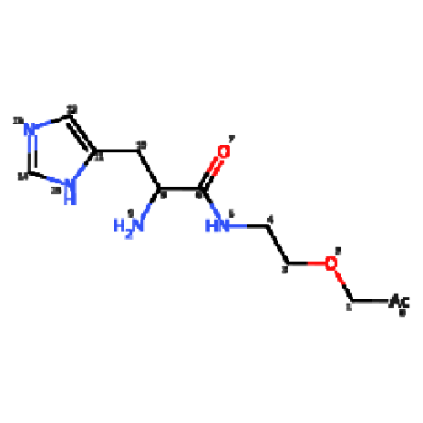 CC(=O)COCCNC(=O)C(N)Cc1cnc[nH]1